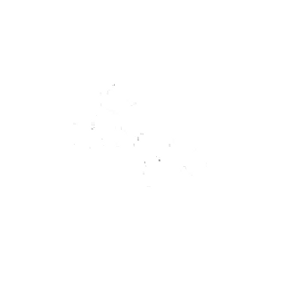 Cc1ccccc1C(CC(=O)O)NC(=O)c1cc(N2CCCC2=O)n(-c2ccccc2F)n1